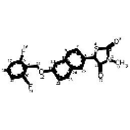 CN1C(=O)SC(c2ccc3cc(OCc4c(F)cccc4F)ccc3c2)C1=O